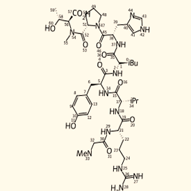 CC[C@H](C)[C@H](NC(=O)[C@H](Cc1ccc(O)cc1)NC(=O)[C@@H](NC(=O)[C@H](CCCNC(=N)N)NC(=O)CNC)C(C)C)C(=O)N[C@@H](Cc1c[nH]cn1)C(=O)N1CCC[C@H]1C(=O)N(C)[C@H](C(=O)O)[C@@H](C)O